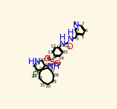 O=C(NCc1cccnc1)Nc1ccc(S(=O)(=O)NC2CNCC(F)C23CCCCCCCC3)cc1